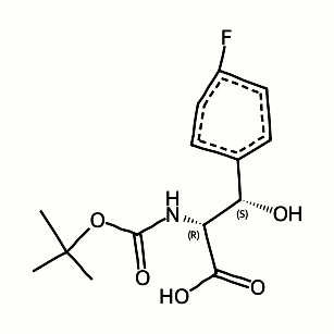 CC(C)(C)OC(=O)N[C@@H](C(=O)O)[C@@H](O)c1ccc(F)cc1